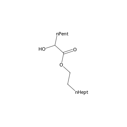 CCCCCCCCCOC(=O)C(O)CCCCC